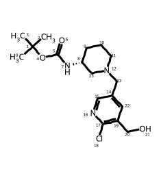 CC(C)(C)OC(=O)N[C@@H]1CCCN(Cc2cnc(Cl)c(CO)c2)C1